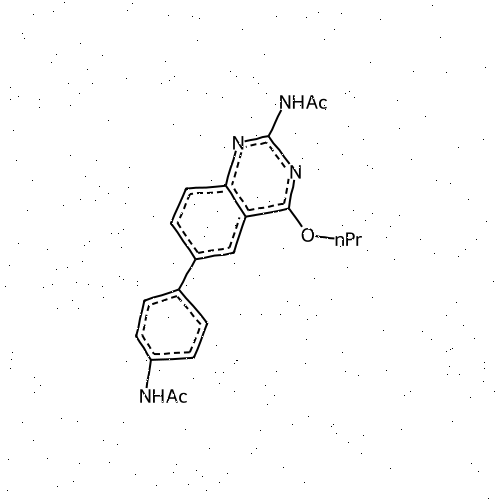 CCCOc1nc(NC(C)=O)nc2ccc(-c3ccc(NC(C)=O)cc3)cc12